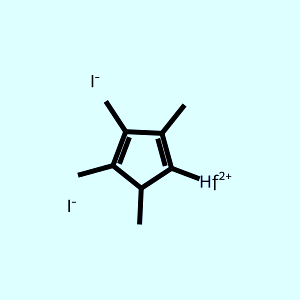 CC1=C(C)C(C)[C]([Hf+2])=C1C.[I-].[I-]